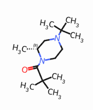 C[C@@H]1CN(C(C)(C)C)CCN1C(=O)C(C)(C)C